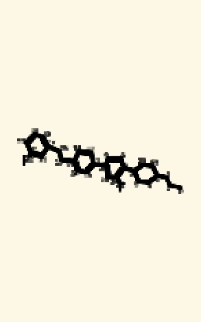 CCCC1CCC(c2ccc(-c3ccc(CCc4cccc(F)c4)cc3)cc2F)CC1